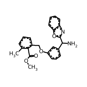 COC(=O)c1c(C)cccc1COc1cccc(C(N)c2nc3ccccc3o2)c1